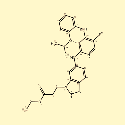 CCOC(=O)CCN1NCc2ccc(Nc3ncc(F)c(Nc4ccccc4OC(C)C)n3)cc21